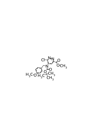 COC(=O)c1cc(N(Cc2ccc(OC)cc2)C(=O)OC(C)(C)C)c(Cl)nn1